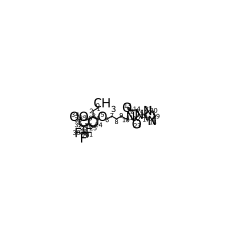 CCCc1c(OCCCCCN2C(=O)CN(c3cnccn3)C2=O)ccc2c(C(F)(F)F)cc(=O)oc12